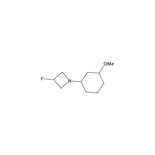 COC1CCCC(N2CC(F)C2)C1